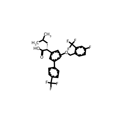 CC(C)C[C@@H](C(=O)O)c1cc(OCc2ccc(F)cc2C(F)(F)F)cc(-c2ccc(C(F)(F)F)cc2)c1